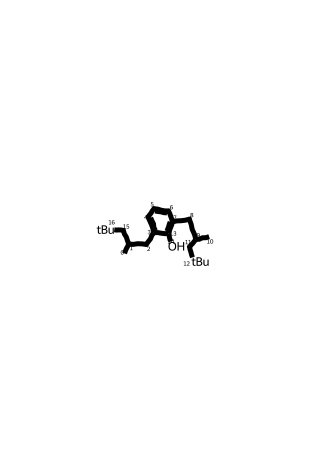 CC(Cc1cccc(CC(C)CC(C)(C)C)c1O)CC(C)(C)C